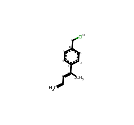 C=C/C=C(\C)c1ccc(CCl)cc1